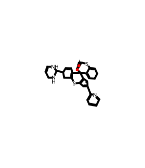 C1=CC2SC3=CCCC=C3C3(C4=C(CC(C5NC=CCN5)C=C4)Sc4cc(-c5ccccn5)ccc43)C2CC1